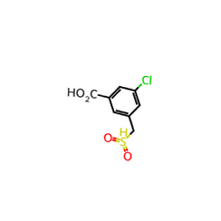 O=C(O)c1cc(Cl)cc(C[SH](=O)=O)c1